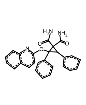 NC(=O)C1(C(N)=O)C(c2ccccc2)C1(Oc1ccc2ccccc2n1)c1ccccc1